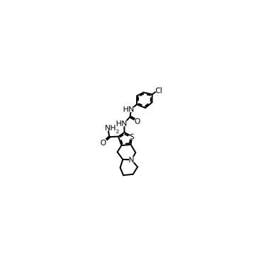 NC(=O)c1c(NC(=O)Nc2ccc(Cl)cc2)sc2c1CC1CCCCN1C2